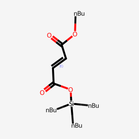 CCCCOC(=O)/C=C/C(=O)O[Si](CCCC)(CCCC)CCCC